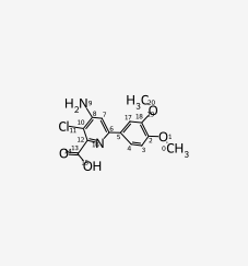 COc1ccc(-c2cc(N)c(Cl)c(C(=O)O)n2)cc1OC